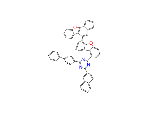 c1ccc(-c2ccc(-c3nc(-c4ccc5ccccc5c4)nc(-c4cccc5oc6c(-c7cc8ccccc8c8oc9ccccc9c78)cccc6c45)n3)cc2)cc1